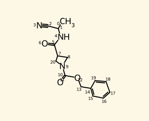 CC(C#N)NC(=O)C1CN(C(=O)OCc2ccccc2)C1